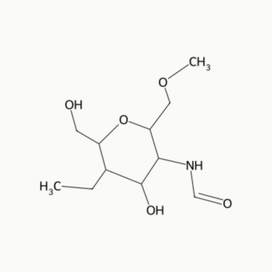 CCC1C(CO)OC(COC)C(NC=O)C1O